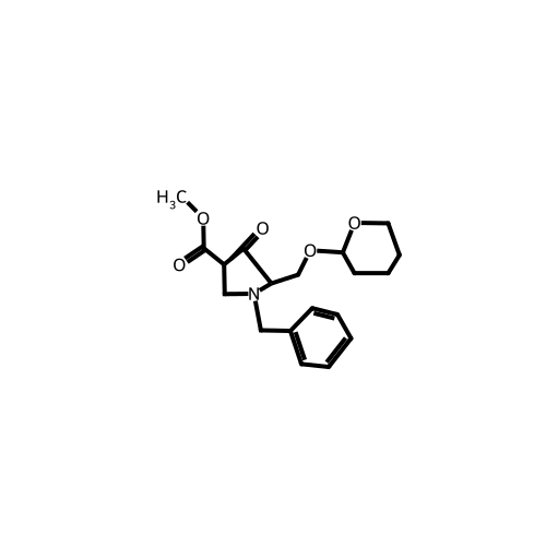 COC(=O)C1CN(Cc2ccccc2)C(COC2CCCCO2)C1=O